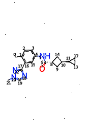 Cc1ccc(NC(=O)[C@H]2C[C@H](C3CC3)C2)cc1-c1ncn(C)n1